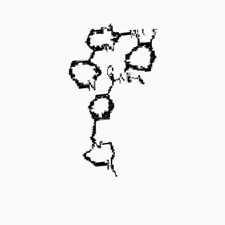 CN1CCN(Cc2ccc(C(=O)Nc3ccc(F)c(Nc4nccc(-c5cccnc5)n4)c3)cc2)CC1